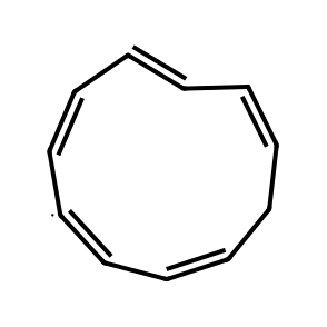 [C]1=C\C=C/C/C=C\C=C\C=C/1